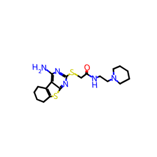 Nc1nc(SCC(=O)NCCN2CCCCC2)nc2sc3c(c12)CCCC3